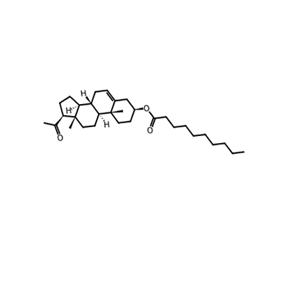 CCCCCCCCCC(=O)O[C@H]1CC[C@@]2(C)C(=CC[C@H]3[C@@H]4CC[C@H](C(C)=O)[C@@]4(C)CC[C@@H]32)C1